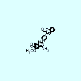 COc1cc2nc(N3CCN(C4Oc5ccccc5OC4C=O)CC3)nc(N)c2cc1OC